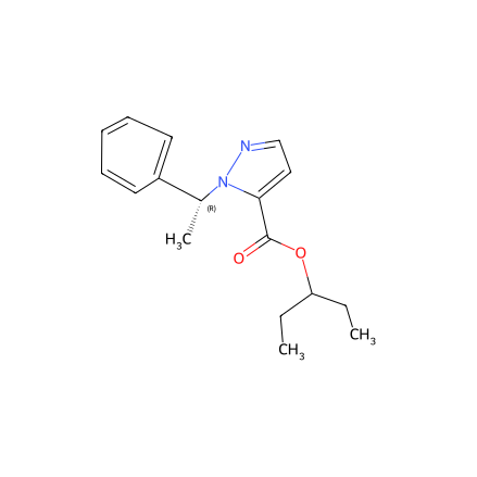 CCC(CC)OC(=O)c1ccnn1[C@H](C)c1ccccc1